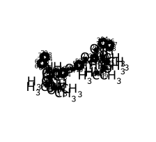 CN[C@@H](C)C(=O)N[C@H](C(=O)N1Cc2ccc(OCc3ccc(C(=O)N[C@H]4C[C@@H](C(=O)N[C@@H]5CCCc6ccccc65)N(C(=O)[C@@H](NC(=O)[C@H](C)NC)C(C)(C)C)C4)cc3)cc2C[C@H]1C(=O)N[C@@H]1CCCc2ccccc21)C(C)(C)C